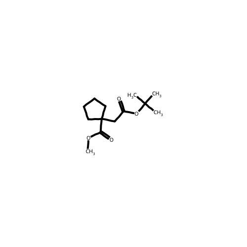 COC(=O)C1(CC(=O)OC(C)(C)C)CCCC1